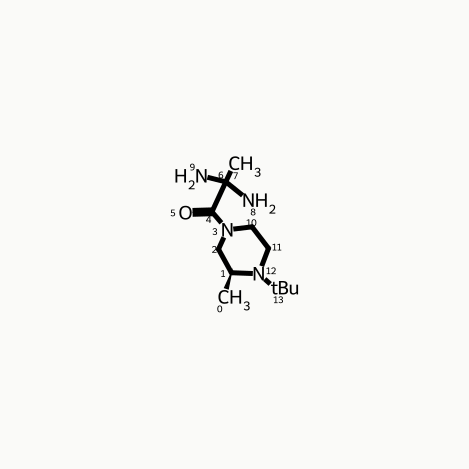 C[C@H]1CN(C(=O)C(C)(N)N)CCN1C(C)(C)C